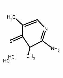 CC1=CN=C(N)C(C)C1=S.Cl.Cl